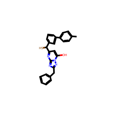 Cc1ccc(-c2cccc(C(S)c3cc(O)n4nc(Cc5ccccc5)nc4n3)c2)cc1